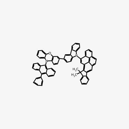 CC1(C)c2ccccc2-c2cc3ccc4cccc5c(-n6c7ccccc7c7cc(-c8ccc9c(c8)Oc8ccccc8N9c8c9ccccc9c(-c9ccccc9)c9ccccc89)ccc76)cc(c21)c3c45